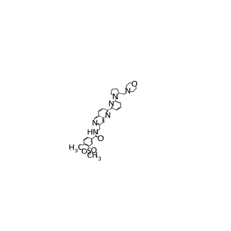 Cc1ccc(C(=O)NCc2cc3nc(-c4cccc(N5CCCC5CN5CCOCC5)n4)ccc3cn2)cc1S(C)(=O)=O